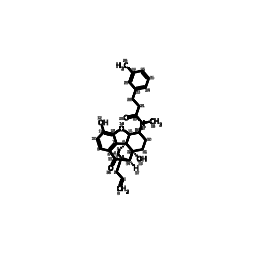 C=CCN1CC[C@]23c4c5ccc(O)c4OC2C(N(C)C(=O)CCc2cccc(C)c2)CC[C@@]3(O)[C@H]1C5=O